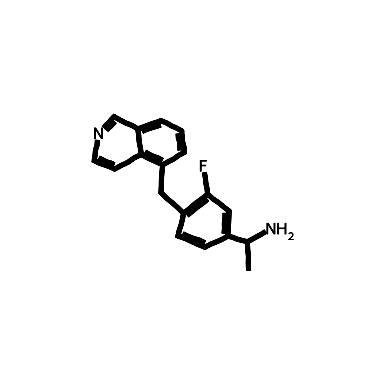 CC(N)c1ccc(Cc2cccc3cnccc23)c(F)c1